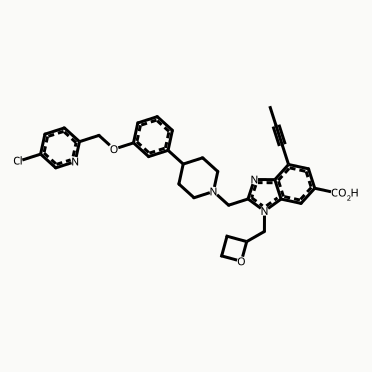 CC#Cc1cc(C(=O)O)cc2c1nc(CN1CCC(c3cccc(OCc4ccc(Cl)cn4)c3)CC1)n2CC1CCO1